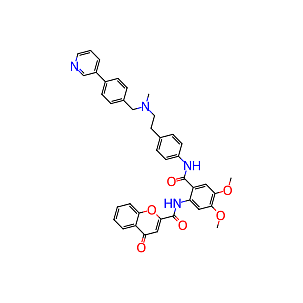 COc1cc(NC(=O)c2cc(=O)c3ccccc3o2)c(C(=O)Nc2ccc(CCN(C)Cc3ccc(-c4cccnc4)cc3)cc2)cc1OC